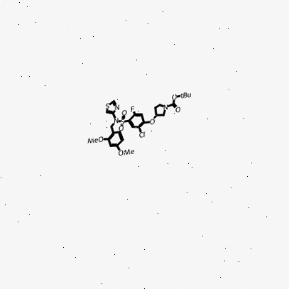 COc1ccc(CN(c2cscn2)S(=O)(=O)c2cc(Cl)c(OC3CCN(C(=O)OC(C)(C)C)C3)cc2F)c(OC)c1